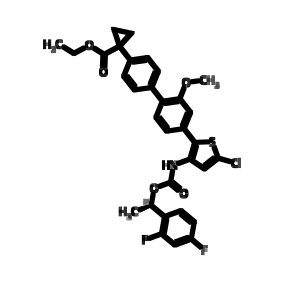 CCOC(=O)C1(c2ccc(-c3ccc(-c4sc(Cl)cc4NC(=O)O[C@H](C)c4ccc(F)cc4F)cc3OC)cc2)CC1